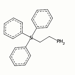 PCC[Si](c1ccccc1)(c1ccccc1)c1ccccc1